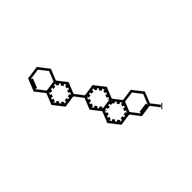 IC1=Cc2ccc3cc(-c4ccc5c(c4)CCC=C5)ccc3c2CC1